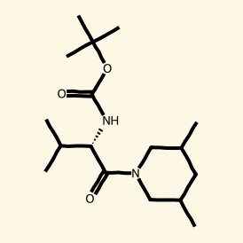 CC1CC(C)CN(C(=O)[C@@H](NC(=O)OC(C)(C)C)C(C)C)C1